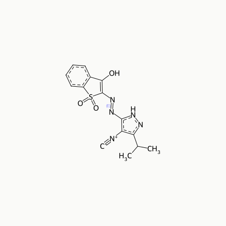 [C-]#[N+]c1c(C(C)C)n[nH]c1/N=N/C1=C(O)c2ccccc2S1(=O)=O